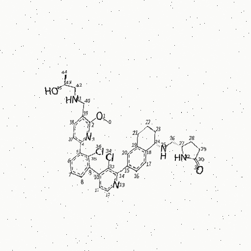 COc1nc(-c2cccc(-c3ccnc(-c4ccc5c(c4)CCC[C@@H]5NC[C@@H]4CCC(=O)N4)c3Cl)c2Cl)ccc1CNC[C@H](C)O